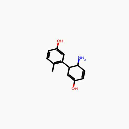 Cc1ccc(O)cc1C1C=C(O)C=CC1N